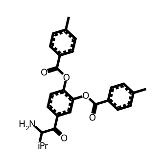 Cc1ccc(C(=O)Oc2ccc(C(=O)C(N)C(C)C)cc2OC(=O)c2ccc(C)cc2)cc1